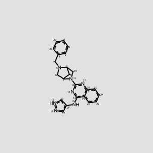 c1ccc(CN2CC3CC2CN3c2nc(Nc3cn[nH]c3)c3ccccc3n2)cc1